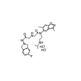 Cc1cc2onc(C)c2cc1N(CCNC(C)C)C(=O)CNCC(=O)N(C)N1Cc2ccc(F)cc2C1.Cl.Cl